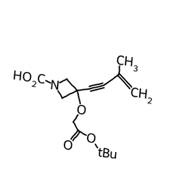 C=C(C)C#CC1(OCC(=O)OC(C)(C)C)CN(C(=O)O)C1